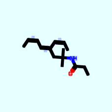 C\C=C/C=C(\C=C/C)CC(C)(C)NC(=O)CC